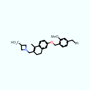 COc1cc(CC(C)C)ccc1COc1ccc2c(c1)CCC(CN1CC(C(=O)O)C1)=C2C